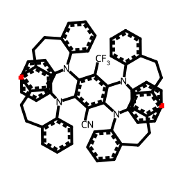 N#Cc1c(N2c3ccccc3CCc3ccccc32)c(N2c3ccccc3CCc3ccccc32)c(C(F)(F)F)c(N2c3ccccc3CCc3ccccc32)c1N1c2ccccc2CCc2ccccc21